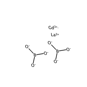 [Gd+3].[La+3].[O-]B([O-])[O-].[O-]B([O-])[O-]